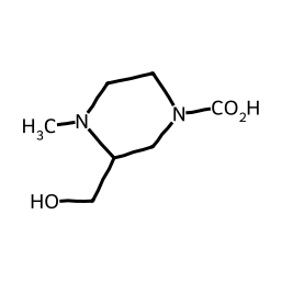 CN1CCN(C(=O)O)CC1CO